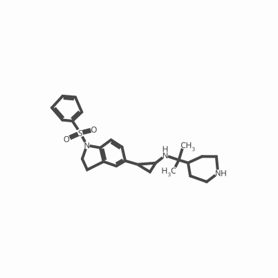 CC(C)(NC1CC1c1ccc2c(c1)CCN2S(=O)(=O)c1ccccc1)C1CCNCC1